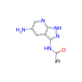 CC(C)C(=O)Nc1n[nH]c2ncc(N)cc12